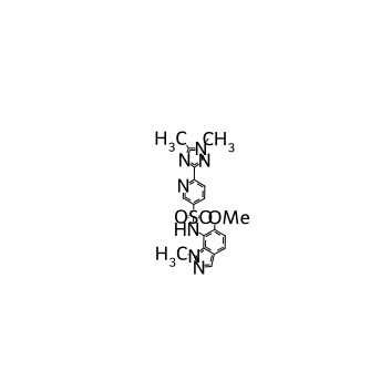 COc1ccc2cnn(C)c2c1NS(=O)(=O)c1ccc(-c2nc(C)n(C)n2)nc1